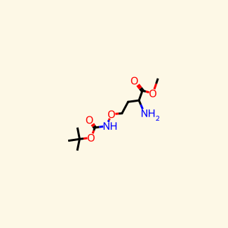 COC(=O)C(N)CCONC(=O)OC(C)(C)C